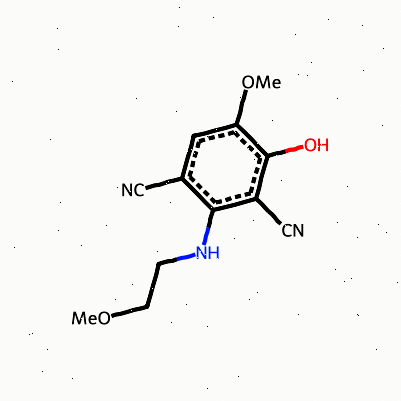 COCCNc1c(C#N)cc(OC)c(O)c1C#N